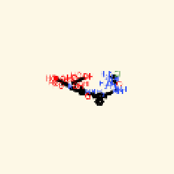 N=C(NCCCCc1ccc(C[C@@H](N)C(=O)Nc2ccc(CCCN(C[C@H](O)[C@@H](O)[C@H](O)[C@H](O)CO)C[C@H](O)[C@@H](O)[C@H](O)[C@H](O)CO)cc2)c2ccccc12)NC(=O)c1nc(Cl)c(N)nc1N